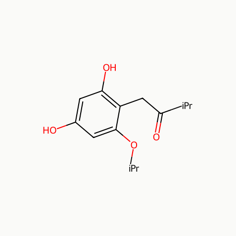 CC(C)Oc1cc(O)cc(O)c1CC(=O)C(C)C